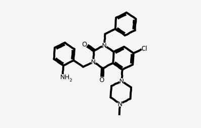 CN1CCN(c2cc(Cl)cc3c2c(=O)n(Cc2ccccc2N)c(=O)n3Cc2ccccc2)CC1